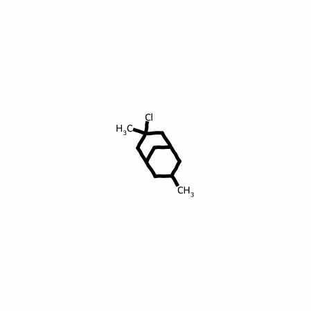 CC1CC2CC(C1)CC(C)(Cl)C2